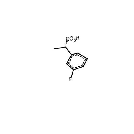 C[C@H](C(=O)O)c1cccc(F)c1